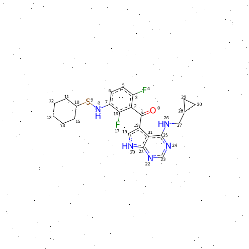 O=C(c1c(F)ccc(NSC2CCCCC2)c1F)c1c[nH]c2ncnc(NCC3CC3)c12